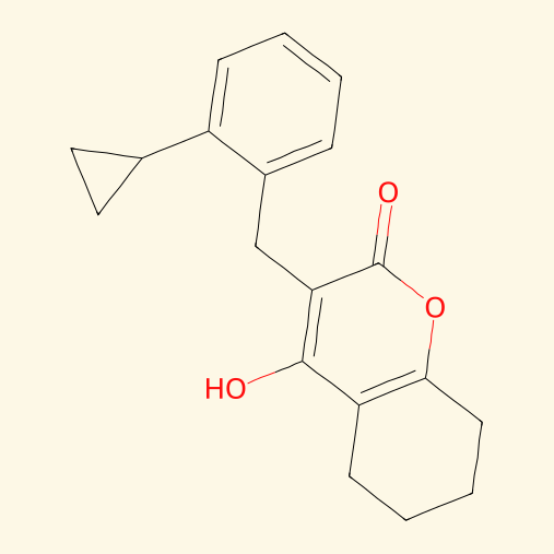 O=c1oc2c(c(O)c1Cc1ccccc1C1CC1)CCCC2